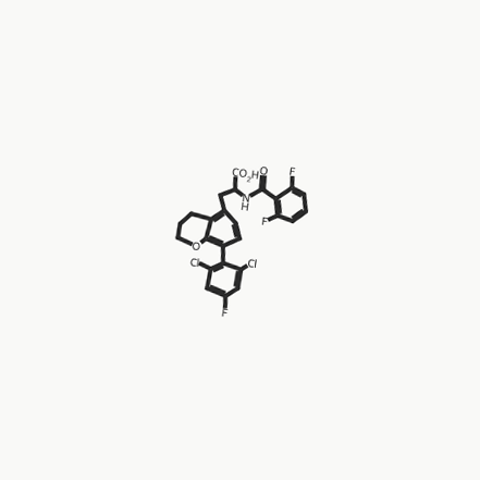 O=C(NC(Cc1ccc(-c2c(Cl)cc(F)cc2Cl)c2c1CCCO2)C(=O)O)c1c(F)cccc1F